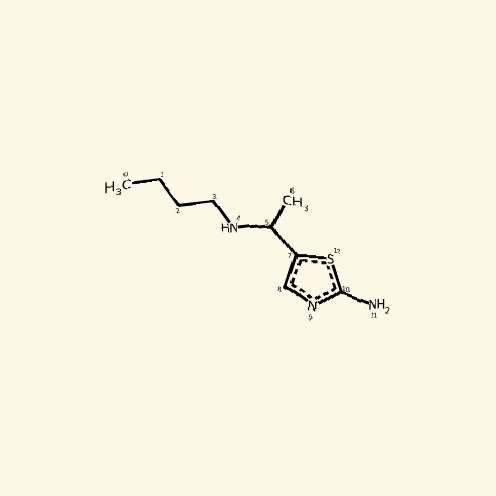 CCCCNC(C)c1cnc(N)s1